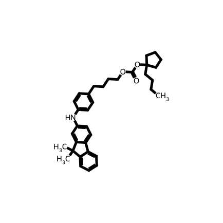 CCCCC1(OC(=O)OCCCCc2ccc(Nc3ccc4c(c3)C(C)(C)c3ccccc3-4)cc2)CCCC1